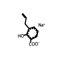 C=CCc1cccc(C(=O)[O-])c1O.[Na+]